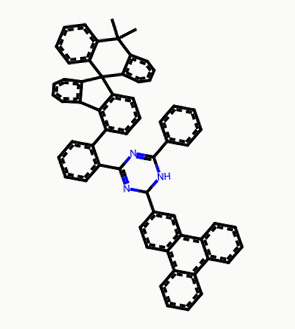 CC1(C)c2ccccc2C2(c3ccccc3-c3c(-c4ccccc4C4=NC(c5ccc6c7ccccc7c7ccccc7c6c5)NC(c5ccccc5)=N4)cccc32)c2ccccc21